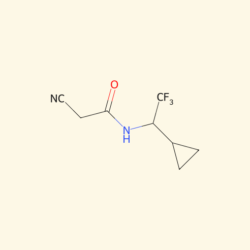 N#CCC(=O)NC(C1CC1)C(F)(F)F